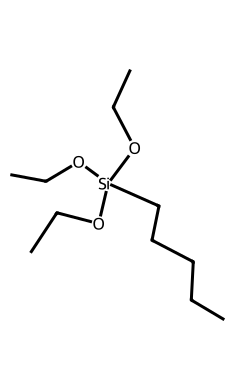 CCCCC[Si](OCC)(OCC)OCC